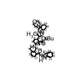 Cc1c(-c2ccc(N3CCc4cccc(C(=O)Nc5nc6ccccc6s5)c4C3)nc2C(=O)OC(C)(C)C)cnn1CC1(N2CCOCC2)CCCCC1